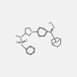 CN(C1CCN(c2ccc(/C(=N\C#N)N3CC4CCC(CC4)C3)cc2)C1)S(=O)(=O)Cc1ccccc1